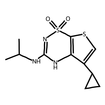 CC(C)NC1=NS(=O)(=O)c2scc(C3CC3)c2N1